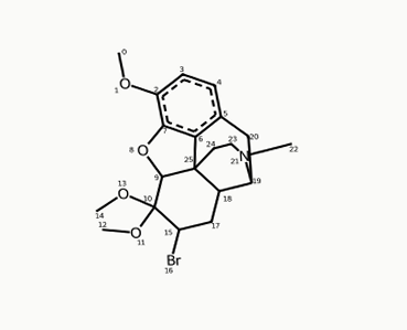 COc1ccc2c3c1OC1C(OC)(OC)C(Br)CC4C(C2)N(C)CCC341